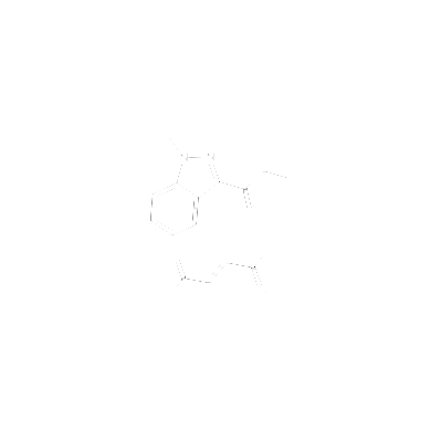 CCC(=O)c1nn(C)c2ccccc12.O=C(O)C=CC(=O)O